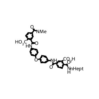 CCCCCCCNC(=O)c1ccc(C(=O)Nc2ccc(Oc3ccc(NC(=O)c4cc(C(=O)NC)ccc4C(=O)O)cc3)cc2)cc1C(=O)O